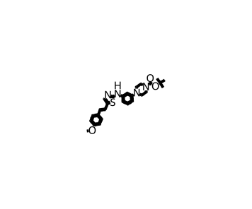 COc1ccc(/C=C/c2cnc(Nc3cccc(N4CCN(C(=O)OC(C)(C)C)CC4)c3)s2)cc1